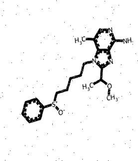 COC(C)c1nc2c(N)ncc(C)c2n1CCCCC[S+]([O-])c1ccccc1